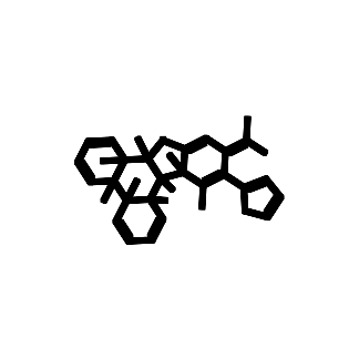 CC(C)=C1C=C2[C]C3(C)C4(C)C=CC=CC4(C)C4(C)C=CC=CC4(C)C3(C)C2(C)C(C)=C1C1=CC=CC1